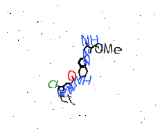 CCn1cc(Cl)c2cc(C(=O)NC3CCc4nc(N5CC(N)C(COC)C5)ccc4C3)nnc21